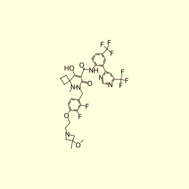 COC1(C)CN(CCOc2ccc(CN3C(=O)C(C(=O)Nc4ccc(C(F)(F)F)cc4-c4cc(C(F)(F)F)ncn4)=C(O)C4(CCC4)N3C)c(F)c2F)C1